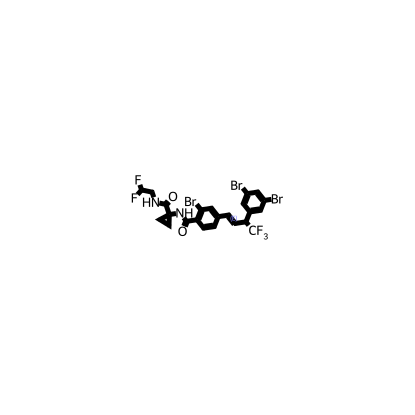 O=C(NC1(C(=O)NCC(F)F)CC1)c1ccc(/C=C/C(c2cc(Br)cc(Br)c2)C(F)(F)F)cc1Br